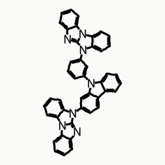 c1cc(-n2c3ccccc3c3ccc(-n4c5ccccc5n5c6ccccc6nc45)cc32)cc(-n2c3ccccc3n3c4ccccc4nc23)c1